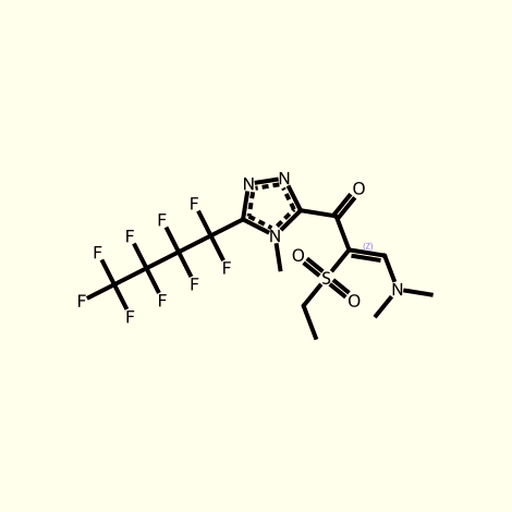 CCS(=O)(=O)/C(=C\N(C)C)C(=O)c1nnc(C(F)(F)C(F)(F)C(F)(F)C(F)(F)F)n1C